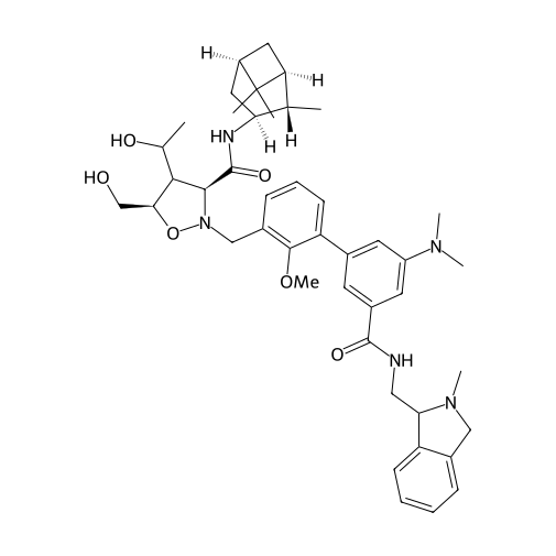 COc1c(CN2O[C@@H](CO)C(C(C)O)[C@H]2C(=O)N[C@H]2C[C@H]3C[C@@H]([C@@H]2C)C3(C)C)cccc1-c1cc(C(=O)NCC2c3ccccc3CN2C)cc(N(C)C)c1